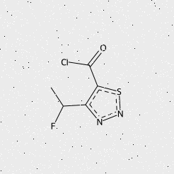 CC(F)c1nnsc1C(=O)Cl